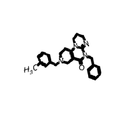 Cc1cccc(CN2CCC3=C(C2)C(=O)N(Cc2ccccc2)C2=NCCCN23)c1